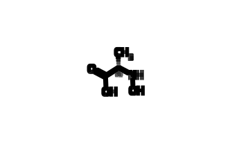 C[C@H](NO)C(=O)O